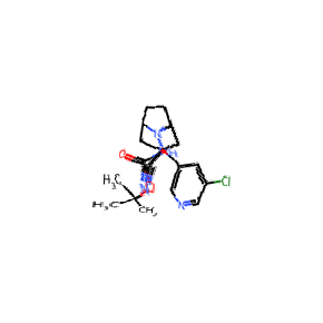 CC(C)(C)OC(=O)NN1C2CCC1CC(C#N)(c1cncc(Cl)c1)C2